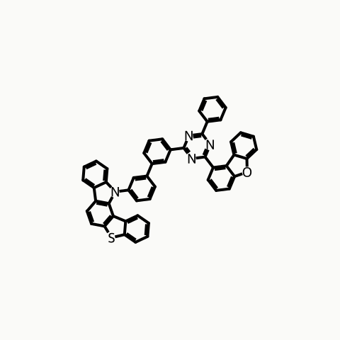 c1ccc(-c2nc(-c3cccc(-c4cccc(-n5c6ccccc6c6ccc7sc8ccccc8c7c65)c4)c3)nc(-c3cccc4oc5ccccc5c34)n2)cc1